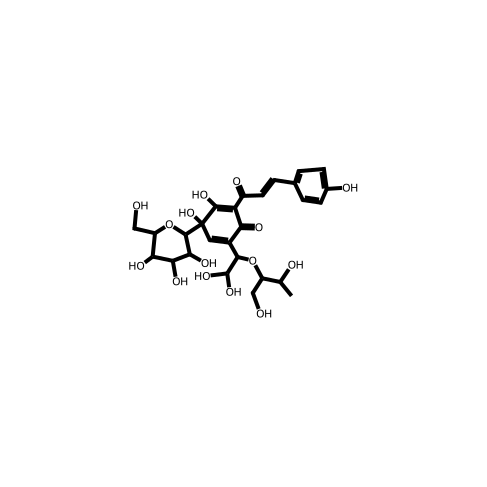 CC(O)C(CO)OC(C1=CC(O)(C2OC(CO)C(O)C(O)C2O)C(O)=C(C(=O)/C=C/c2ccc(O)cc2)C1=O)C(O)O